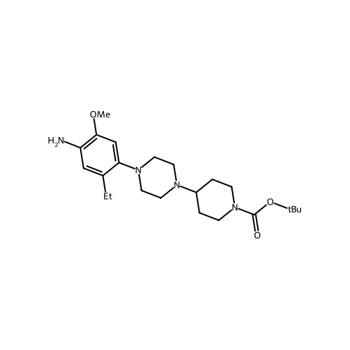 CCc1cc(N)c(OC)cc1N1CCN(C2CCN(C(=O)OC(C)(C)C)CC2)CC1